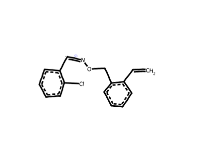 C=Cc1ccccc1CO/N=[C]\c1ccccc1Cl